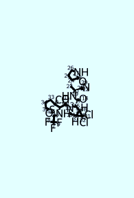 CC1([C@H](NC(=O)C(F)(F)F)C(=O)N2C[C@H]3[C@@H]([C@H]2C(=O)N[C@H](C#N)C[C@@H]2CCNC2=O)C3(Cl)Cl)CCCS1